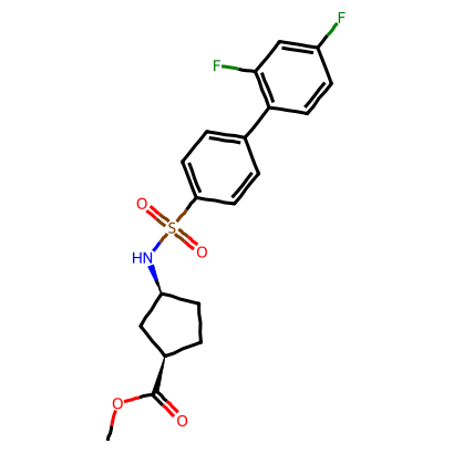 COC(=O)[C@@H]1CC[C@H](NS(=O)(=O)c2ccc(-c3ccc(F)cc3F)cc2)C1